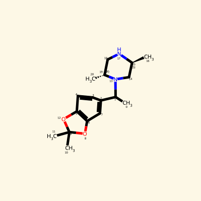 CC(c1ccc2c(c1)OC(C)(C)O2)N1C[C@H](C)NC[C@H]1C